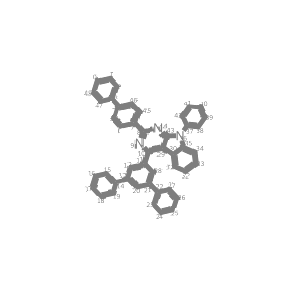 c1ccc(-c2ccc(-c3nc(-c4cc(-c5ccccc5)cc(-c5ccccc5)c4)c4c5ccccc5n(-c5ccccc5)c4n3)cc2)cc1